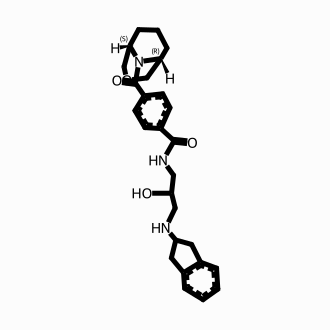 O=C(NCC(O)CNC1Cc2ccccc2C1)c1ccc(C(=O)N2[C@@H]3CCC[C@H]2COC3)cc1